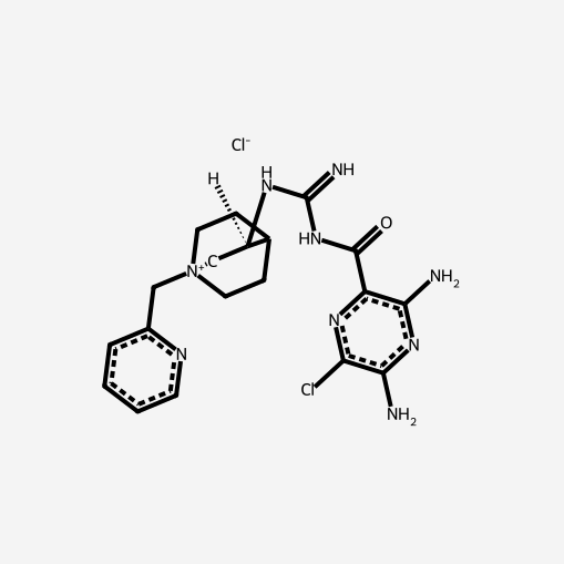 N=C(NC(=O)c1nc(Cl)c(N)nc1N)N[C@@H]1C[N+]2(Cc3ccccn3)CCC1CC2.[Cl-]